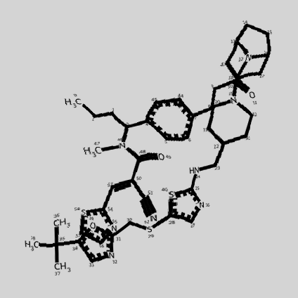 CCCC(c1ccc(CCC(=O)N2C3CCC2CC(N2CCC(CNc4ncc(SCc5ncc(C(C)(C)C)o5)s4)CC2)C3)cc1)N(C)C(=O)/C(C#N)=C/c1nccs1